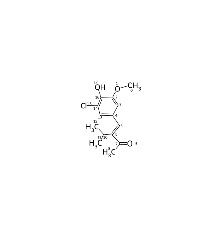 COc1cc(/C=C(/C(C)=O)C(C)C)cc(Cl)c1O